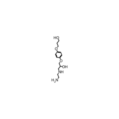 NCCNCC(O)COc1ccc(OCCCO)cc1